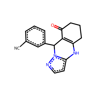 N#Cc1cccc(C2C3=C(CCCC3=O)Nc3ccnn32)c1